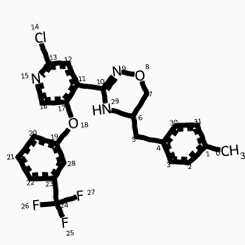 Cc1ccc(CC2CON=C(c3cc(Cl)ncc3Oc3cccc(C(F)(F)F)c3)N2)cc1